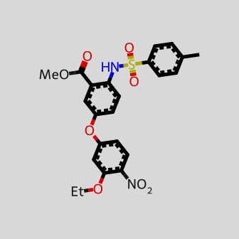 CCOc1cc(Oc2ccc(NS(=O)(=O)c3ccc(C)cc3)c(C(=O)OC)c2)ccc1[N+](=O)[O-]